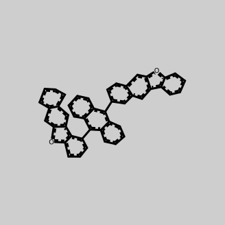 c1ccc2cc3c(cc2c1)oc1cccc(-c2c4ccccc4c(-c4ccc5cc6oc7ccccc7c6cc5c4)c4ccccc24)c13